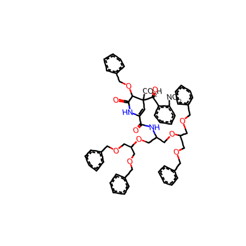 O=C(NC(COC(COCc1ccccc1)COCc1ccccc1)COC(COCc1ccccc1)COCc1ccccc1)C1=CC(C(=O)O)(C(=O)c2ccccc2[N+](=O)[O-])C(OCc2ccccc2)C(=O)N1